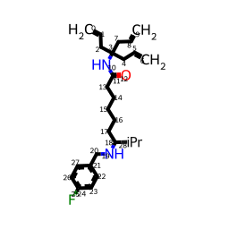 C=CCC(CC=C)(CC=C)NC(=O)CCCCCC(NCc1ccc(F)cc1)C(C)C